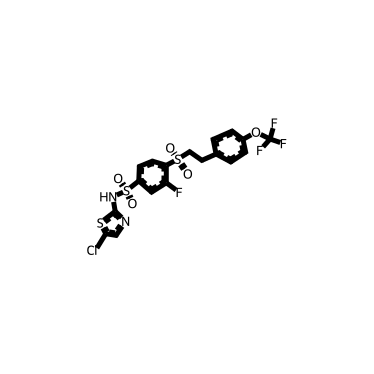 O=S(=O)(CCc1ccc(OC(F)(F)F)cc1)c1ccc(S(=O)(=O)Nc2ncc(Cl)s2)cc1F